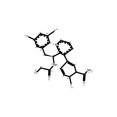 NC(=O)C1C=C(c2cccnc2[C@H](Cc2cc(F)cc(F)c2)NC(=O)CCl)C=CC1F